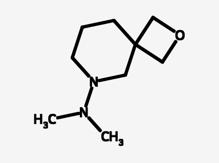 CN(C)N1CCCC2(COC2)C1